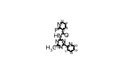 Cc1nc(NC(=O)c2cccnc2F)nc(-c2ccccn2)n1